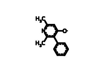 Cc1cc([O])c(-c2ccccc2)c(C)n1